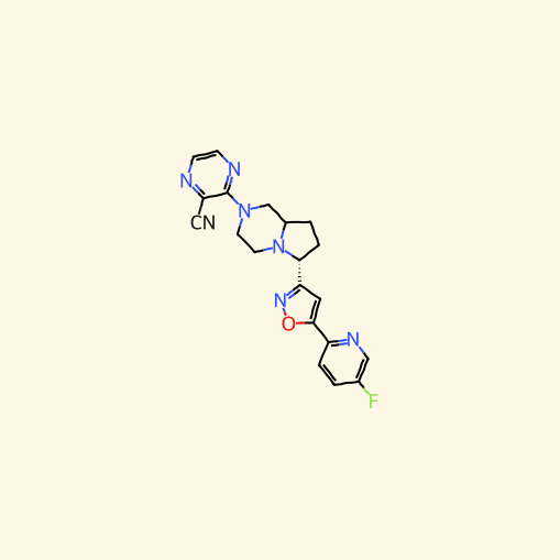 N#Cc1nccnc1N1CCN2C(CC[C@@H]2c2cc(-c3ccc(F)cn3)on2)C1